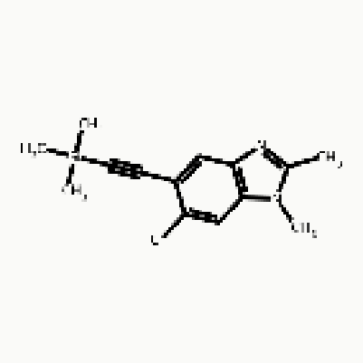 Cc1nc2cc(C#C[Si](C)(C)C)c(Cl)cc2n1C